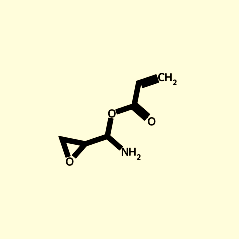 C=CC(=O)OC(N)C1CO1